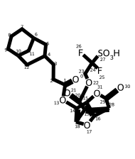 O=C(CCC1CC2CCCC(C2)C1)Oc1c2c3oc1c(C(=O)OCC(F)(F)S(=O)(=O)O)c3C(=O)O2